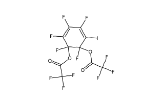 O=C(OC1(F)C(F)=C(F)C(F)=C(I)C1(F)OC(=O)C(F)(F)F)C(F)(F)F